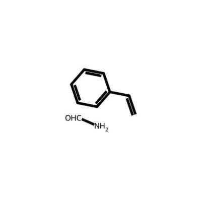 C=Cc1ccccc1.NC=O